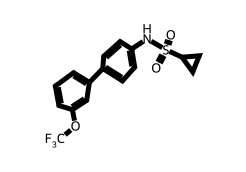 O=S(=O)(Nc1ccc(-c2cccc(OC(F)(F)F)c2)cc1)C1CC1